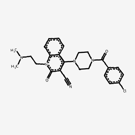 CN(C)CCn1c(=O)c(C#N)c(N2CCN(C(=O)c3ccc(Cl)cc3)CC2)c2ccccc21